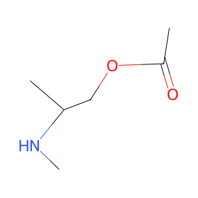 CNC(C)COC(C)=O